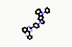 c1ccc(-n2c3ccccc3c3cc4c(ccn4-c4ccc(-c5nc6c7c(cccc7n5)Sc5ccccc5-6)cc4)cc32)cc1